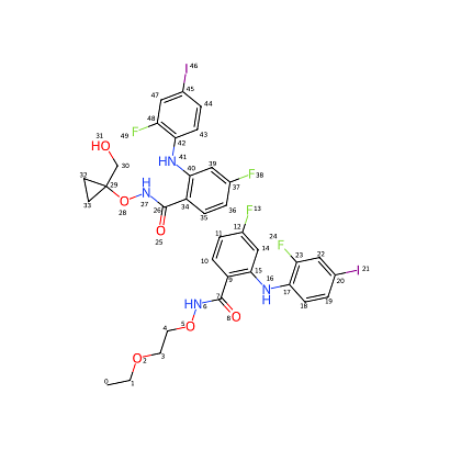 CCOCCONC(=O)c1ccc(F)cc1Nc1ccc(I)cc1F.O=C(NOC1(CO)CC1)c1ccc(F)cc1Nc1ccc(I)cc1F